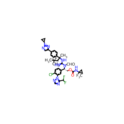 CC(CC(C)(C)C(F)(F)F)(NC(=N)N(C=O)[C@H](COC(=O)NC1(C(F)(F)F)CC1)c1ccc(Cl)c(-n2ncnc2C(F)F)c1)c1ccc(-c2cnn(C3CC3)n2)cc1